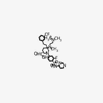 CN(C)CCN(C)[C@@]1(CCc2cccc(C(F)(F)F)c2)CCCN(c2ccc(S(=O)(=O)Nc3ccncn3)c(F)c2)C1.O=CO